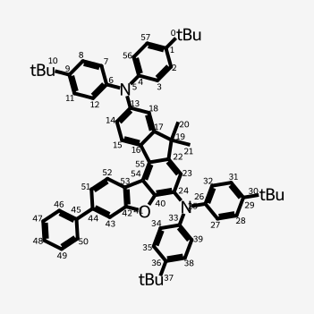 CC(C)(C)c1ccc(N(c2ccc(C(C)(C)C)cc2)c2ccc3c(c2)C(C)(C)c2cc(N(c4ccc(C(C)(C)C)cc4)c4ccc(C(C)(C)C)cc4)c4oc5cc(-c6ccccc6)ccc5c4c2-3)cc1